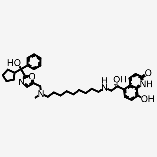 CN(CCCCCCCCCNC[C@H](O)c1ccc(O)c2[nH]c(=O)ccc12)Cc1cnc(C(O)(c2ccccc2)C2CCCC2)o1